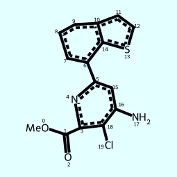 COC(=O)c1nc(-c2cccc3ccsc23)cc(N)c1Cl